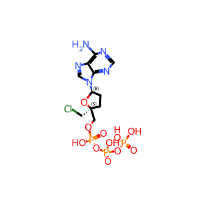 Nc1ncnc2c1ncn2[C@H]1CC[C@@](CCl)(COP(=O)(O)OP(=O)(O)OP(=O)(O)O)O1